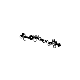 O=C(CCN1C(=O)CC(C2C=CC2)C1=O)NCCOCCOCCC(=O)Nc1ccc(CCC(=O)N2CCC2=O)cc1